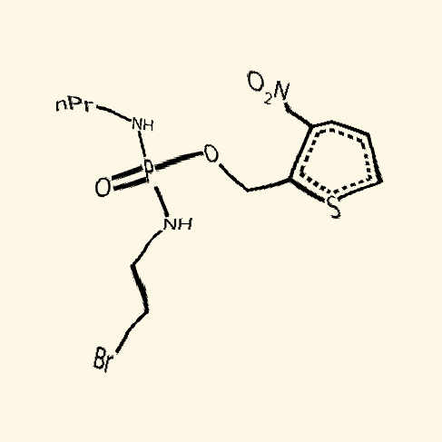 CCCNP(=O)(NCCBr)OCc1sccc1[N+](=O)[O-]